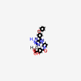 Cc1cc(C(=O)N2CCCC(n3nc(-c4ccc(Oc5ccccc5)cc4)c4c(N)ncnc43)C2)ccc1C(=O)O